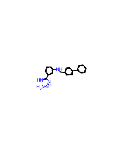 N=C(/N=N\N)c1cccc(NCc2ccc(-c3ccccc3)cc2)c1